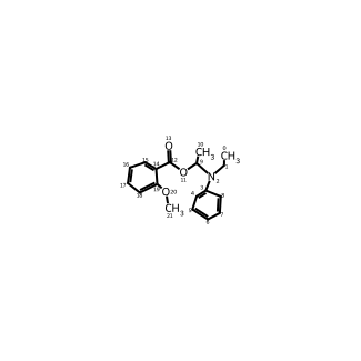 CCN(c1ccccc1)C(C)OC(=O)c1ccccc1OC